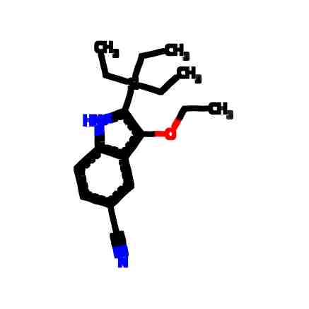 CCOc1c([Si](CC)(CC)CC)[nH]c2ccc(C#N)cc12